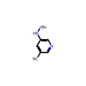 CCCCNc1cncc(C#N)c1